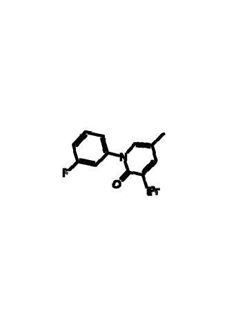 Cc1cc(C(C)C)c(=O)n(-c2cccc(F)c2)c1